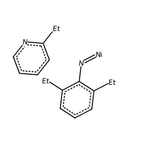 CCc1cccc(CC)c1[N]=[Ni].CCc1ccccn1